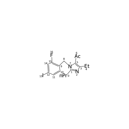 CCCc1nc(CC)c(C(C)=O)n1Cc1ccc(I)cc1F